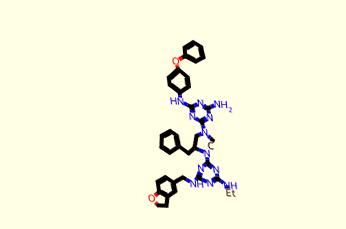 CCNc1nc(NCc2ccc3c(c2)CCO3)nc(N2CCN(c3nc(N)nc(Nc4ccc(Oc5ccccc5)cc4)n3)CC2Cc2ccccc2)n1